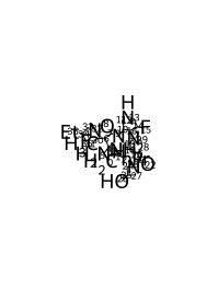 C=C(CCC)NC(N)C(C(=O)NC1CNCC(F)C1N1CCC(C(=O)N2CC(O)C2)CC1)C(C)/N=C\C(F)CC